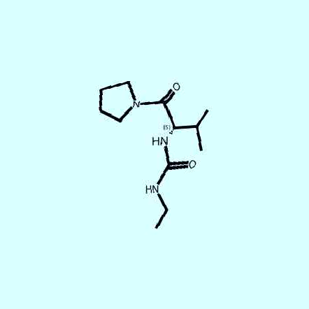 CCNC(=O)N[C@H](C(=O)N1CCCC1)C(C)C